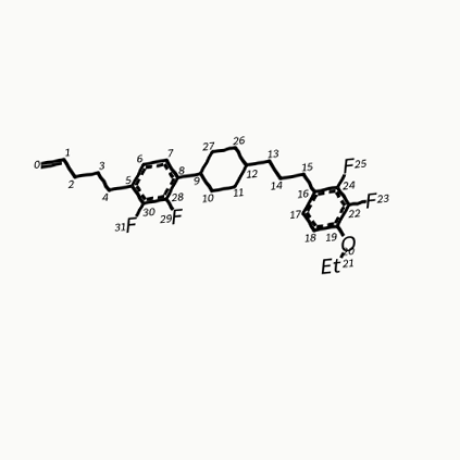 C=CCCCc1ccc(C2CCC(CCCc3ccc(OCC)c(F)c3F)CC2)c(F)c1F